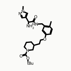 Cc1ccc(OCCC2CCCN(C(=O)OC(C)(C)C)C2)cc1CNC(=O)C(N)c1cnn(C)c1